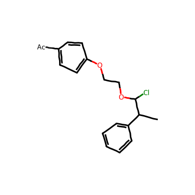 CC(=O)c1ccc(OCCOC(Cl)C(C)c2ccccc2)cc1